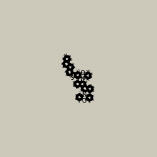 c1ccc2c(c1)Oc1ccccc1N2c1cc2c3ccccc3c(N3c4ccccc4Oc4cc5c(cc43)sc3ccc4c6ccc7ccccc7c6ccc4c35)cc2c2ccccc12